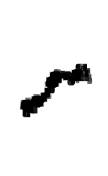 CCN(CC(C)C)C(=O)OCOC1=Nc2cc(OCCCCN3CCN(c4cccc(Cl)c4Cl)CC3)ccc2CC1